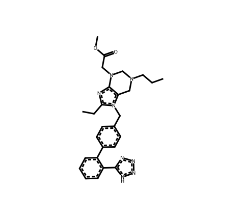 CCCN1Cc2c(nc(CC)n2Cc2ccc(-c3ccccc3-c3nnn[nH]3)cc2)N(CC(=O)OC)C1